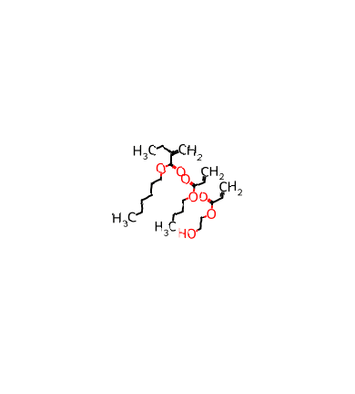 C=C(CC)C(=O)OCCCCCC.C=CC(=O)OCCCC.C=CC(=O)OCCO